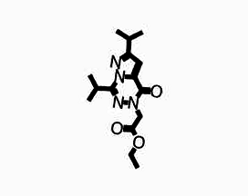 CCOC(=O)Cn1nc(C(C)C)n2nc(C(C)C)cc2c1=O